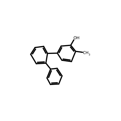 Cc1ccc(-c2ccccc2-c2ccccc2)cc1O